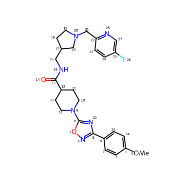 COc1ccc(-c2noc(N3CCC(C(=O)NCC4CCN(Cc5ccc(F)cn5)C4)CC3)n2)cc1